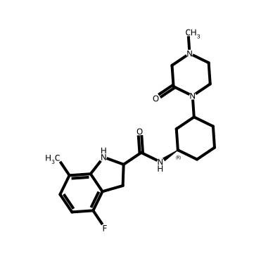 Cc1ccc(F)c2c1NC(C(=O)N[C@@H]1CCCC(N3CCN(C)CC3=O)C1)C2